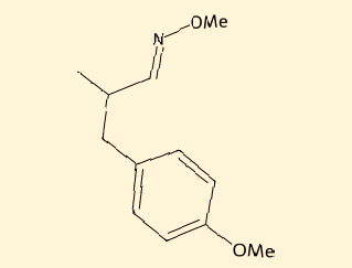 CO/N=C/C(C)Cc1ccc(OC)cc1